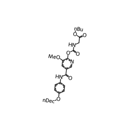 CCCCCCCCCCOc1ccc(NC(=O)c2cnc(OC(=O)NCC(=O)OCCCC)c(OC)c2)cc1